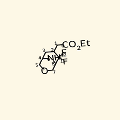 CCOC(=O)CC1CC2COCC(N2)C1(F)F